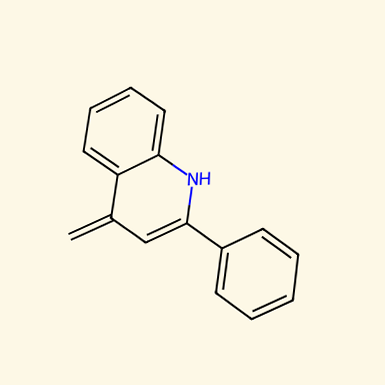 C=C1C=C(c2ccccc2)Nc2ccccc21